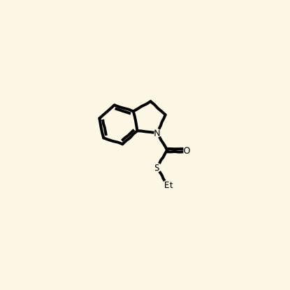 CCSC(=O)N1CCc2ccccc21